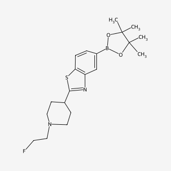 CC1(C)OB(c2ccc3sc(C4CCN(CCF)CC4)nc3c2)OC1(C)C